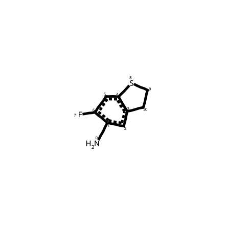 Nc1cc2c(cc1F)SCC2